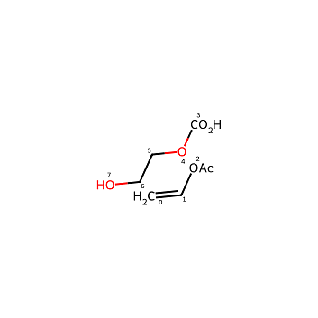 C=COC(C)=O.O=C(O)OCCO